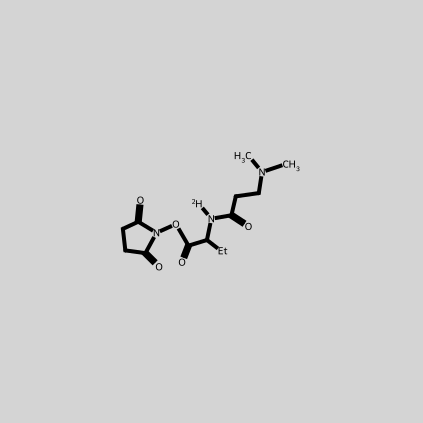 [2H]N(C(=O)CCN(C)C)C(CC)C(=O)ON1C(=O)CCC1=O